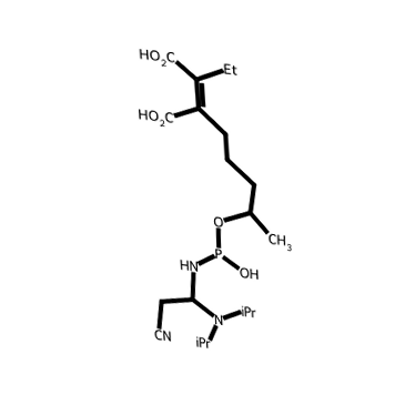 CCC(C(=O)O)=C(CCCC(C)OP(O)NC(CC#N)N(C(C)C)C(C)C)C(=O)O